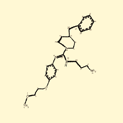 COCCOc1ccc(/N=C(\NCCCN)N2CCC(Cc3ccccc3)CC2)cc1